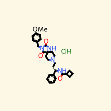 COc1ccc(CN2C(=O)NC3(CCN(CC[C@H](NC(=O)C4CCC4)c4ccccc4)CC3)C2=O)cc1.Cl